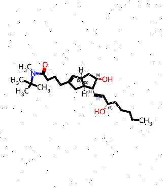 CCCCC[C@H](O)/C=C/[C@@H]1[C@H]2CC(CCCC(=O)N(C)C(C)(C)C)=C[C@H]2C[C@H]1O